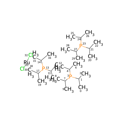 CC(C)P(C(C)C)C(C)C.CC(C)P(C(C)C)C(C)C.CC(C)P(C(C)C)C(C)C.[Cl][Ru][Cl]